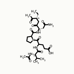 CC[C@H](CC(=O)[C@H](CC(N)=O)NC(=O)C1CCCN1C(=O)C(CCC(=O)O)NC(=O)[C@@H](NC(C)=O)C(C)C)C(C)=O